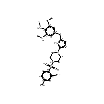 COc1cc(Cc2csc(N3CCN(S(=O)(=O)c4ccc(Cl)cc4Cl)CC3)n2)cc(OC)c1OC